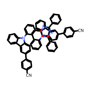 N#Cc1ccc(-c2ccc3c(c2)c2ccccc2n3-c2ccccc2-c2c(-c3cc(-c4ccccc4)nc(-c4ccccc4)n3)cccc2-n2c3ccccc3c3cc(-c4ccc(C#N)cc4)ccc32)cc1